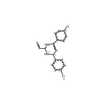 S=CC1NC(c2ccc(Cl)cc2)=CC(c2ccc(Cl)cc2)N1